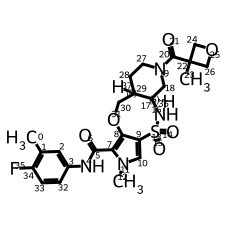 Cc1cc(NC(=O)c2c3c(cn2C)S(=O)(=O)N[C@@H]2CN(C(=O)C4(C)COC4)CC[C@H]2CO3)ccc1F